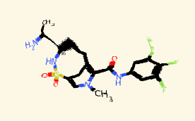 CC(N)[C@H]1CCC2=C(C(=O)Nc3cc(F)c(F)c(F)c3)N(C)C=C(C2)S(=O)(=O)N1